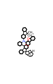 CC1(C)c2ccccc2-c2ccc(N(c3ccccc3-c3cccc4c3-c3ccccc3C43C4CC5C[C@@H]6CC3C6(C5)C4)c3cccc4c3oc3ccccc34)cc21